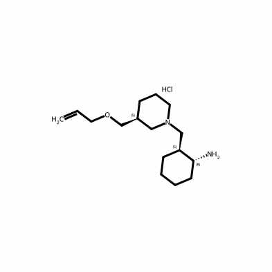 C=CCOC[C@H]1CCCN(C[C@@H]2CCCC[C@H]2N)C1.Cl